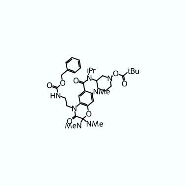 CNc1cc2c(cc1C(=O)N(C(C)C)C1CCCN(OC(=O)C(C)(C)C)C1)N(CCNC(=O)OCc1ccccc1)C(=O)C(NC)(NC)O2